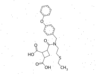 CCSCCN(Cc1ccc(Oc2ccccc2)cc1)C(=O)C1CC(C(=O)O)C1C(=O)O